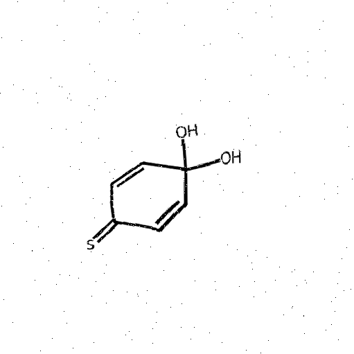 OC1(O)C=CC(=S)C=C1